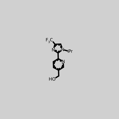 CC(C)n1cc(C(F)(F)F)nc1-c1ccc(CO)cn1